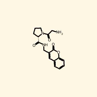 NCC(=O)N1CCC[C@H]1C(=O)NCc1cc2ccccc2oc1=O